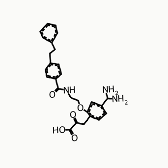 NC(N)c1ccc(CC(=O)C(=O)O)c(OCCNC(=O)c2ccc(CCc3ccccc3)cc2)c1